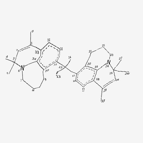 CC1=CC(C)(C)N2CCCc3c(C(C)(C)c4ccc5c6c4CCCN6C(C)(C)C=C5C)ccc1c32